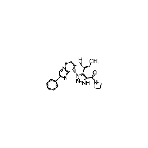 CC=C(Nc1ccn2cc(-c3ccccc3)nc2n1)c1nn[nH]c1C(=O)N1CCC1